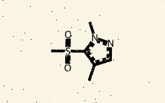 Cc1[c]nn(C)c1S(C)(=O)=O